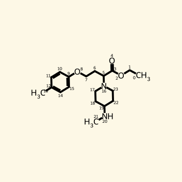 CCOC(=O)C(CCOc1ccc(C)cc1)N1CCC(NC)CC1